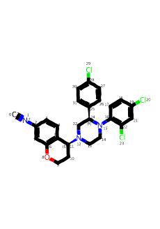 [C-]#[N+]c1ccc2c(c1)OCC[C@@H]2N1CCN(c2ccc(Cl)cc2Cl)[C@H](c2ccc(Cl)cc2)C1